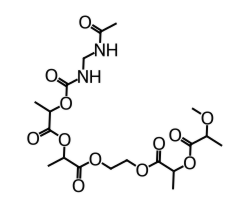 COC(C)C(=O)OC(C)C(=O)OCCOC(=O)C(C)OC(=O)C(C)OC(=O)NCNC(C)=O